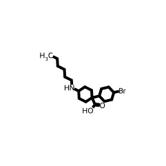 CCCCCCNC1CCC(C(=O)O)(C2CCC(Br)CC2)CC1